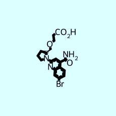 NC(=O)c1cc(N2CCC[C@H]2COCCC(=O)O)nc2cc(Br)ccc12